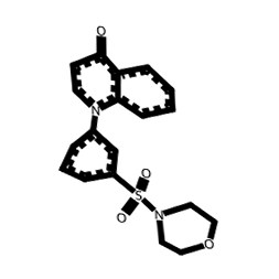 O=c1ccn(-c2cccc(S(=O)(=O)N3CCOCC3)c2)c2ccccc12